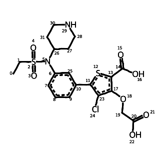 CCS(=O)(=O)N(c1cccc(-c2sc(C(=O)O)c(OCC(=O)O)c2Cl)c1)C1CCNCC1